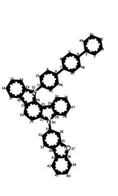 c1ccc(-c2ccc(-c3ccc(-n4c5ccccc5c5ccc6c(c7ccccc7n6-c6ccc7c(c6)oc6ccccc67)c54)cc3)cc2)cc1